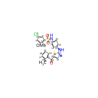 COc1ccc(Cl)cc1S(=O)(=O)Nc1ccc(Nc2ncc(C(=O)c3ccccc3C)s2)cc1